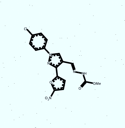 COC(=O)NN=Cc1cn(-c2ccc(Cl)cc2)nc1-c1ccc([N+](=O)[O-])o1